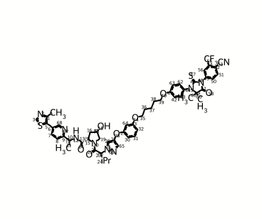 Cc1ncsc1-c1ccc([C@H](C)NC(=O)[C@@H]2C[C@@H](O)CN2C(=O)[C@H](C(C)C)n2cc(Oc3cccc(OCCCCCOc4ccc(N5C(=S)N(c6ccc(C#N)c(C(F)(F)F)c6)C(=O)C5(C)C)cc4)c3)cn2)nc1